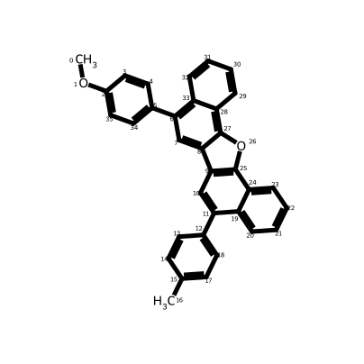 COc1ccc(-c2cc3c4cc(-c5ccc(C)cc5)c5ccccc5c4oc3c3ccccc23)cc1